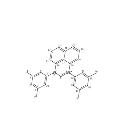 Cc1cc(C)cc(N2C=[N+](c3cc(C)cc(C)c3)c3cccc4cccc2c34)c1